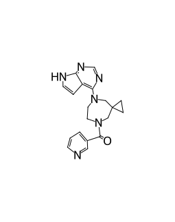 O=C(c1cccnc1)N1CCN(c2ncnc3[nH]ccc23)CC2(CC2)C1